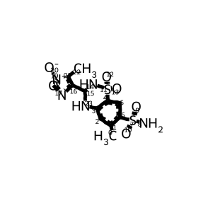 Cc1cc2c(cc1S(N)(=O)=O)S(=O)(=O)NC(c1no[n+]([O-])c1C)N2